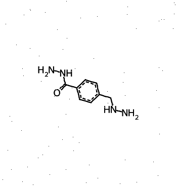 NNCc1ccc(C(=O)NN)cc1